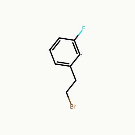 Fc1[c]c(CCBr)ccc1